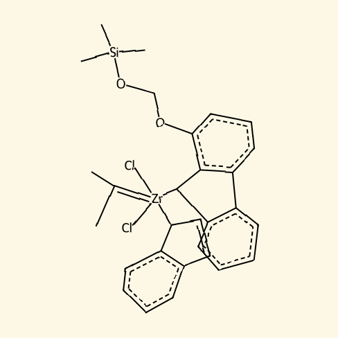 C[C](C)=[Zr]([Cl])([Cl])([CH]1C=Cc2ccccc21)[CH]1c2ccccc2-c2cccc(OCO[Si](C)(C)C)c21